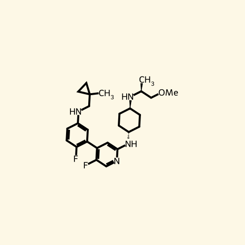 COC[C@H](C)N[C@H]1CC[C@H](Nc2cc(-c3cc(NCC4(C)CC4)ccc3F)c(F)cn2)CC1